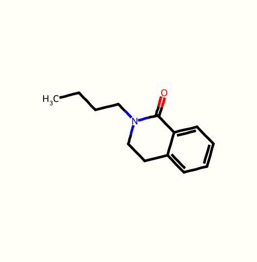 CCCCN1CCc2ccccc2C1=O